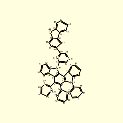 c1ccc(-n2c3ccccc3c3c2c(-c2ncccn2)c(-c2ncccn2)c2c4ccccc4n(-c4cncc(-c5ccc6oc7ccccc7c6c5)n4)c23)cc1